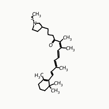 CSN1CCC(CCCC(=O)\C(C)=C(C)/C=C/C=C(C)/C=C/C2=C(C)CCCC2(C)C)C1